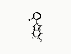 Fc1ccccc1-n1cc2cnc(Cl)cc2n1